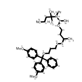 COc1ccc(C(OCCCSSC(C)CCOP(O)N(C(C)C)C(C)(C)CCC#N)(c2ccccc2)c2ccc(OC)cc2)cc1